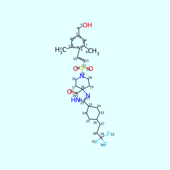 Cc1cc(CO)cc(C)c1C=CS(=O)(=O)N1CCC2(CC1)N=C(C1CCC(CCC(F)(F)F)CC1)NC2=O